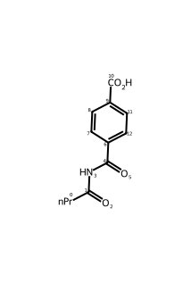 CCCC(=O)NC(=O)c1ccc(C(=O)O)cc1